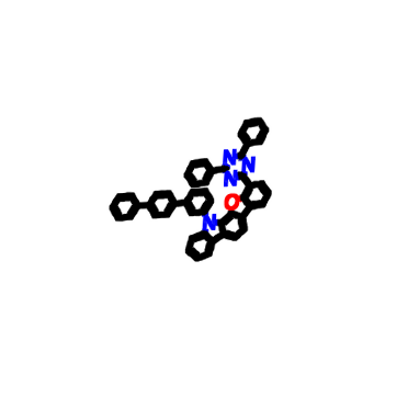 c1ccc(-c2ccc(-c3cccc(-n4c5ccccc5c5ccc6c7cccc(-c8nc(-c9ccccc9)nc(-c9ccccc9)n8)c7oc6c54)c3)cc2)cc1